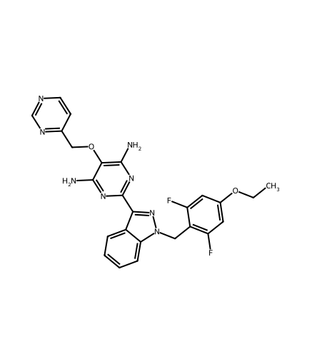 CCOc1cc(F)c(Cn2nc(-c3nc(N)c(OCc4ccncn4)c(N)n3)c3ccccc32)c(F)c1